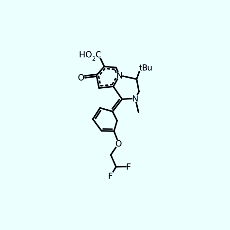 CN1CC(C(C)(C)C)n2cc(C(=O)O)c(=O)cc2/C1=C1\C=CC=C(OCC(F)F)C1